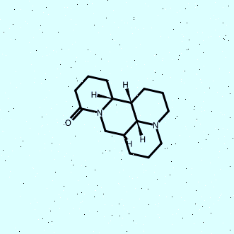 O=C1CCC[C@@H]2[C@@H]3CCCN4CCC[C@H](CN12)[C@H]34